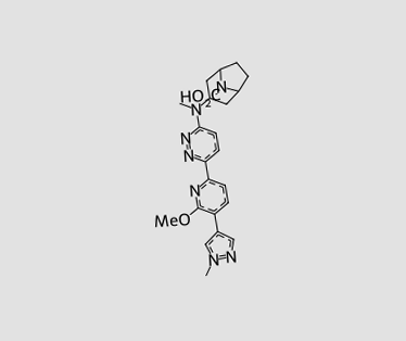 COc1nc(-c2ccc(N(C)C3CC4CCC(C3)N4C(=O)O)nn2)ccc1-c1cnn(C)c1